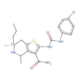 CCC[C@@]1(C)Cc2sc(NC(=O)Nc3ccc(Cl)cc3)c(C(N)=O)c2C(C)N1